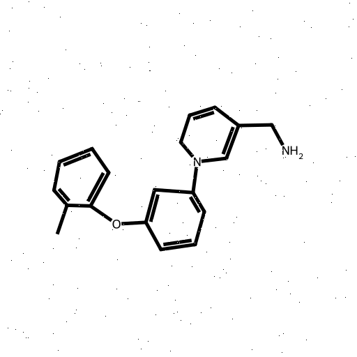 Cc1ccccc1Oc1cccc(N2C=C(CN)C=CC2)c1